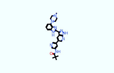 CN1CCN(c2cccc3[nH]c(-c4n[nH]c5ncc(-c6cncc(NC(=O)C(C)(C)C)c6)cc45)nc23)CC1